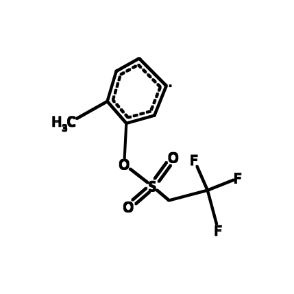 Cc1cc[c]cc1OS(=O)(=O)CC(F)(F)F